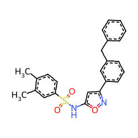 Cc1ccc(S(=O)(=O)Nc2cc(-c3cccc(Cc4ccccc4)c3)no2)cc1C